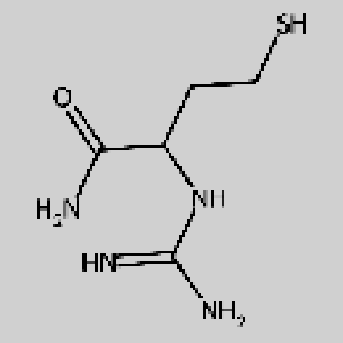 N=C(N)NC(CCS)C(N)=O